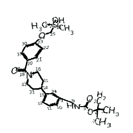 CC(C)(C)OC(=O)NCc1cccc(C2CCN(C(=O)c3ccc(OC[Si](C)(C)O)cc3)CC2)c1